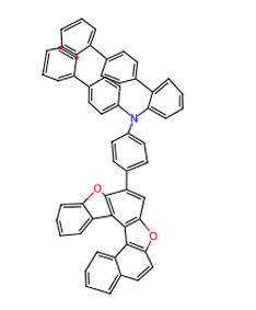 c1ccc(-c2ccc(-c3ccccc3N(c3ccc(-c4ccccc4)cc3)c3ccc(-c4cc5oc6ccc7ccccc7c6c5c5c4oc4ccccc45)cc3)cc2)cc1